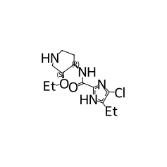 CCO[C@H]1CNCC[C@H]1NC(=O)c1nc(Cl)c(CC)[nH]1